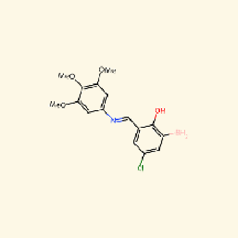 Bc1cc(Cl)cc(/C=N/c2cc(OC)c(OC)c(OC)c2)c1O